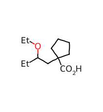 CCOC(CC)CC1(C(=O)O)CCCC1